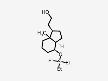 CC[Si](CC)(CC)O[C@H]1CCC[C@]2(C)[C@@H](CCO)CC[C@@H]12